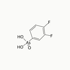 O=[As](O)(O)c1ccc(F)c(F)c1